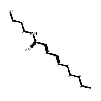 CCCCC/C=C/C=C/C(=O)NCCCC